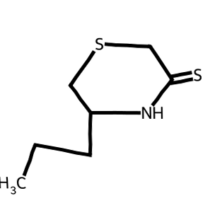 CCCC1CSCC(=S)N1